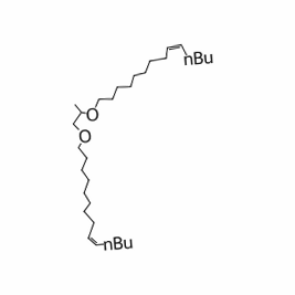 CCCC/C=C\CCCCCCCCOCC(C)OCCCCCCCC/C=C\CCCC